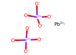 [O-][I+3]([O-])([O-])[O-].[O-][I+3]([O-])([O-])[O-].[Pb+2]